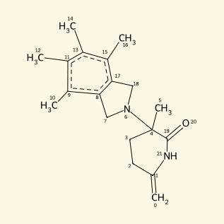 C=C1CCC(C)(N2Cc3c(C)c(C)c(C)c(C)c3C2)C(=O)N1